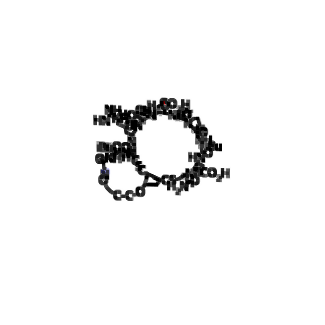 CC[C@@H](C)[C@@H]1NC(=O)/C=N/OCCCCCCOc2cc3cc(c2)CSC[C@H](NC1=O)C(=O)N[C@@H](CCCNC(=N)N)C(=O)N[C@@H]([C@@H](C)O)C(=O)N[C@@H](CC(=O)O)C(=O)N[C@@H](C(C)C)C(=O)N1CCC[C@H]1C(=O)N[C@@H]([C@@H](C)CC)C(=O)N[C@@H](CC(=O)O)C(=O)N[C@H](C(N)=O)CSC3